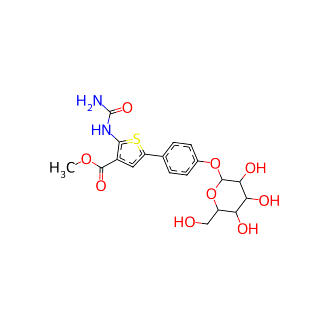 COC(=O)c1cc(-c2ccc(OC3OC(CO)C(O)C(O)C3O)cc2)sc1NC(N)=O